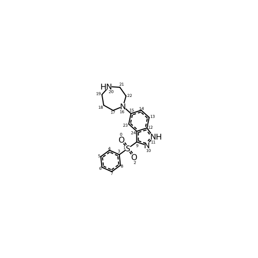 O=S(=O)(c1ccccc1)c1n[nH]c2ccc(N3CCCNCC3)cc12